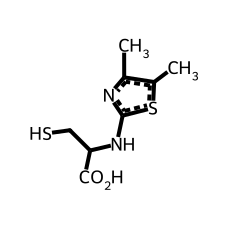 Cc1nc(NC(CS)C(=O)O)sc1C